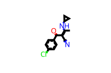 CC(NC1CC1)=C(C#N)C(=O)c1ccc(Cl)cc1